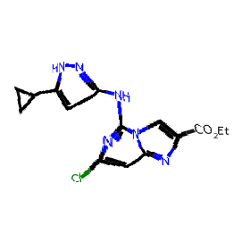 CCOC(=O)c1cn2c(Nc3cc(C4CC4)[nH]n3)nc(Cl)cc2n1